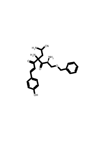 N#CC(N)CC(N)(C(=O)/C=C/c1ccc(O)cc1)C(=O)[C@@H](N)COCc1ccccc1